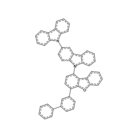 c1ccc(-c2cccc(-c3ccc(-n4c5ccccc5c5cc(-n6c7ccccc7c7ccccc76)ccc54)c4c3oc3ccccc34)c2)cc1